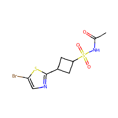 CC(=O)NS(=O)(=O)C1CC(c2ncc(Br)s2)C1